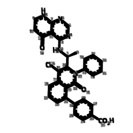 C[C@H](Nc1ncnc2[nH]ccc(=O)c12)c1c(Cl)c2cccc(-c3ccc(C(=O)O)cc3)c2c(=O)n1-c1ccccc1